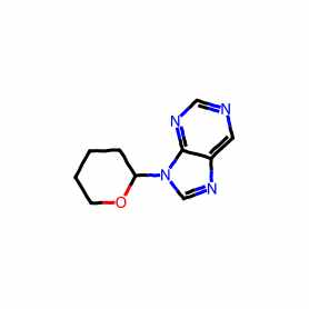 c1ncc2ncn(C3CCCCO3)c2n1